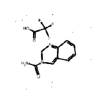 NC(=O)N1C=c2ccccc2=NC1.O=C(O)C(F)(F)F